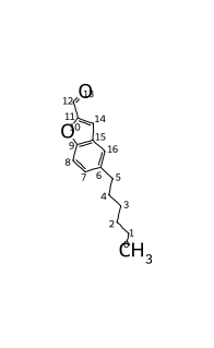 CCCCCCc1ccc2oc(C=O)cc2c1